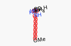 COCCOCCOCCOCCOCCOCCOCCOCCOCCOCCOCCOCC(=O)NCCCC[C@H](NC(=O)OC(C)(C)C)C(=O)N[C@@H](C)C(=O)O